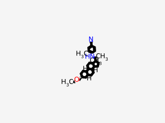 CCOC[C@H]1CC[C@@H]2C3CC[C@@]4(C)C(CCC4[C@@H](C)Nc4ccc(C#N)cc4C)[C@@H]3CC[C@@H]2C1